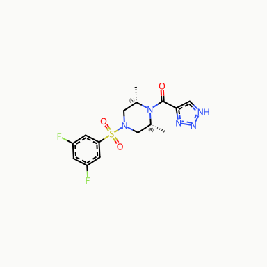 C[C@@H]1CN(S(=O)(=O)c2cc(F)cc(F)c2)C[C@H](C)N1C(=O)c1c[nH]nn1